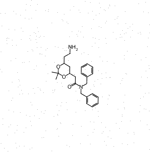 CC1(C)OC(CCN)CC(CC(=O)N(Cc2ccccc2)Cc2ccccc2)O1